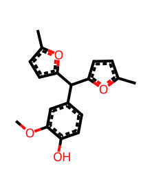 COc1cc(C(c2ccc(C)o2)c2ccc(C)o2)ccc1O